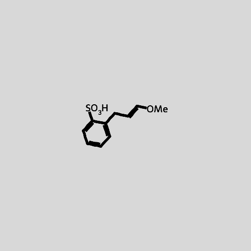 COC=CCc1ccccc1S(=O)(=O)O